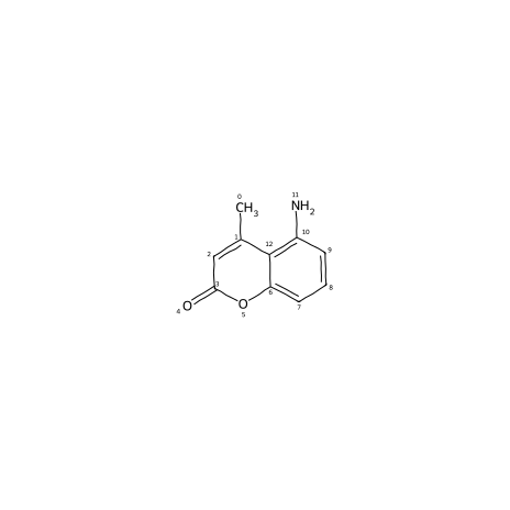 Cc1cc(=O)oc2cccc(N)c12